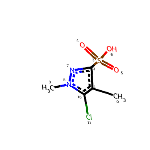 Cc1c(S(=O)(=O)O)nn(C)c1Cl